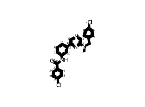 CN(Cc1ccc(Cl)cc1)c1cncc(-c2cccc(NC(=O)c3ccc(Cl)cc3)c2)n1